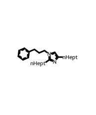 CCCCCCCc1cn(CCCc2ccccc2)c(CCCCCCC)n1